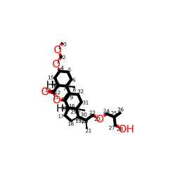 COCO[C@H]1CC[C@]2(C)C3=C(OC(=O)[C@H]2C1)[C@@H]1CC[C@H]([C@H](C)COCC(C)CO)[C@@]1(C)CC3